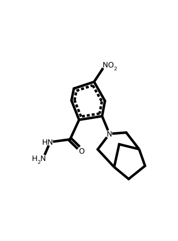 NNC(=O)c1ccc([N+](=O)[O-])cc1N1CC2CCC(C2)C1